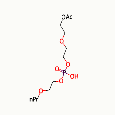 CCCOCCOP(=O)(O)OCCOCCOC(C)=O